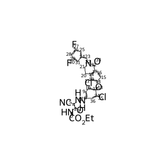 CCOC(=O)NC(=O)C(C#N)NNc1cc(Cl)c(Oc2ccc3c(c2)CCN(Cc2cc(F)cc(F)c2)C3=O)c(Cl)c1